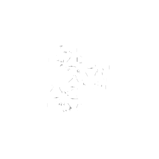 CC1(C)CC(C)(C)c2c1ccc1c2Oc2cc(N3c4ccccc4[Si](C)(C)c4ccccc43)cc3c2B1c1ccc2c(c1O3)C(C)(C)CC2(C)C